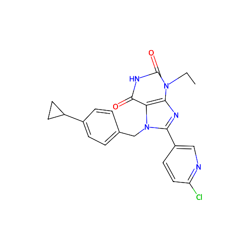 CCn1c(=O)[nH]c(=O)c2c1nc(-c1ccc(Cl)nc1)n2Cc1ccc(C2CC2)cc1